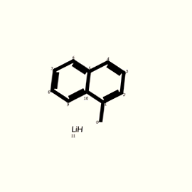 Cc1cccc2ccccc12.[LiH]